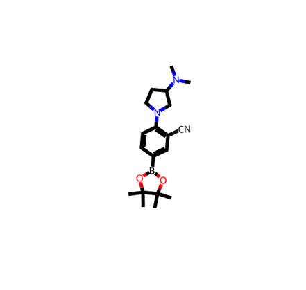 CN(C)C1CCN(c2ccc(B3OC(C)(C)C(C)(C)O3)cc2C#N)C1